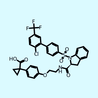 O=C(NCCOc1ccc(C2(C(=O)O)CC2)cc1)[C@@H]1Cc2ccccc2N1S(=O)(=O)c1ccc(-c2cc(C(F)(F)F)ccc2Cl)cc1